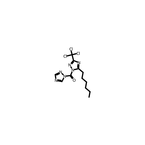 CCCCCCc1nc(C(Cl)(Cl)Cl)nn1C(=O)n1cncn1